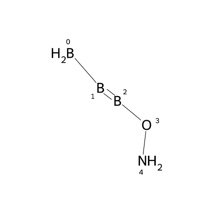 BB=BON